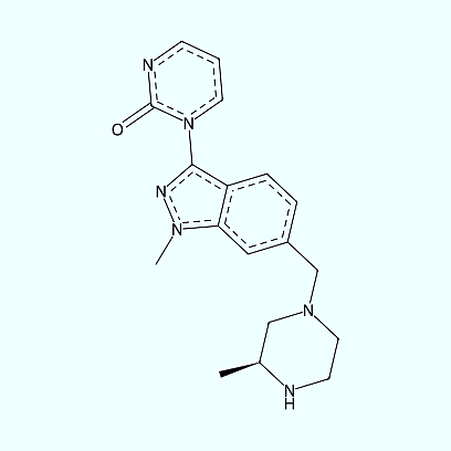 C[C@H]1CN(Cc2ccc3c(-n4cccnc4=O)nn(C)c3c2)CCN1